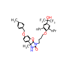 CCCc1cc(C(O)(C(F)(F)F)C(F)(F)F)cc(CCC)c1OCCCCN1C(=O)NC(C)(c2ccc(OCc3ccc(C)cc3)cc2)C1=O